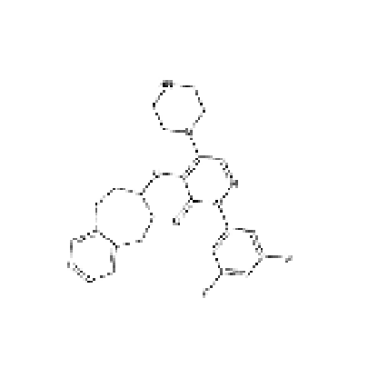 O=c1c(OC2CCc3ccccc3CC2)c(N2CCNCC2)cnn1-c1cc(F)cc(F)c1